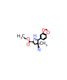 CCOC(=O)[C@@H]1C[C@](C)(C#N)C(c2ccc3c(c2)OCO3)N1